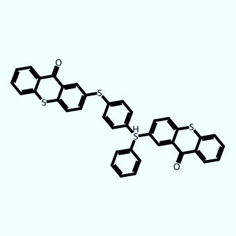 O=c1c2ccccc2sc2ccc(Sc3ccc([SH](c4ccccc4)c4ccc5sc6ccccc6c(=O)c5c4)cc3)cc12